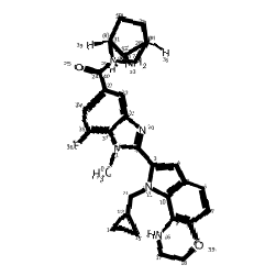 Cn1c(-c2cc3ccc4c(c3n2CC2CC2)NCCO4)nc2cc(C(=O)N3C[C@H]4CC[C@@H]3[C@@H]4N)cc(F)c21